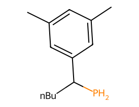 CCCCC(P)c1cc(C)cc(C)c1